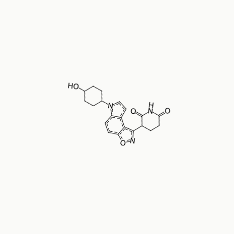 O=C1CCC(c2noc3ccc4c(ccn4C4CCC(O)CC4)c23)C(=O)N1